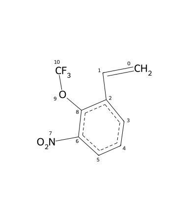 C=Cc1cccc([N+](=O)[O-])c1OC(F)(F)F